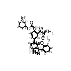 CCN1CCCC(OC(=O)Nc2ccc(-c3cnc4[nH]nc(-c5ccccc5OC)c4c3)cc2C(=O)N(C)C)C1